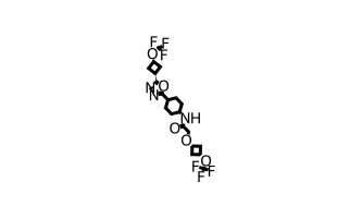 O=C(COC1CC(OC(F)(F)F)C1)NC1CCC(c2nnc([C@H]3C[C@@H](OC(F)(F)F)C3)o2)CC1